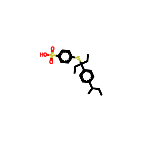 CCC(C)c1ccc(C(CC)(CC)Sc2ccc(S(=O)(=O)O)cc2)cc1